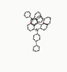 c1ccc(-c2ccc(N(c3ccccc3-c3cccc4cccc(-c5ccccc5)c34)c3cccc4c3c3ccccc3n4-c3ccccc3)cc2)cc1